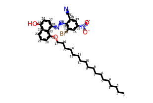 CCCCCCCCCCCCCCCCCCOc1cccc2c(O)ccc(/N=N/c3c(Br)cc([N+](=O)[O-])cc3C#N)c12